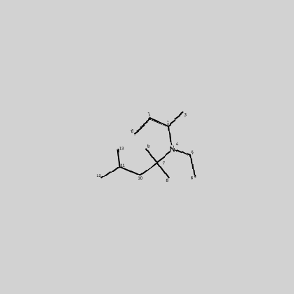 CCC(C)N(CC)C(C)(C)CC(C)C